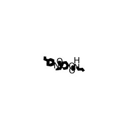 CCCNC(=O)O[C@H]1CC[C@]2(CCN(c3ccc(CC)cc3)C2=O)CC1